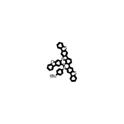 CC(C)(C)c1ccc(N2B3c4cc5c(cc4-n4c6cc7c(cc6c6ccc(c3c64)-c3cc4sc6ccccc6c4cc32)sc2ccccc27)oc2ccccc25)cc1